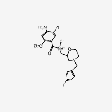 CCOc1cc(N)c(Cl)cc1C(=O)[NH+]([O-])CC1CN(Cc2ccc(F)cc2)CCO1